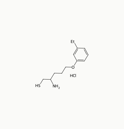 CCc1cccc(OCCCC(N)CS)c1.Cl